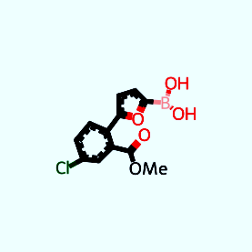 COC(=O)c1cc(Cl)ccc1-c1ccc(B(O)O)o1